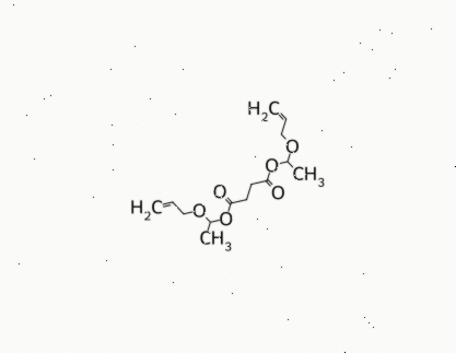 C=CCOC(C)OC(=O)CCC(=O)OC(C)OCC=C